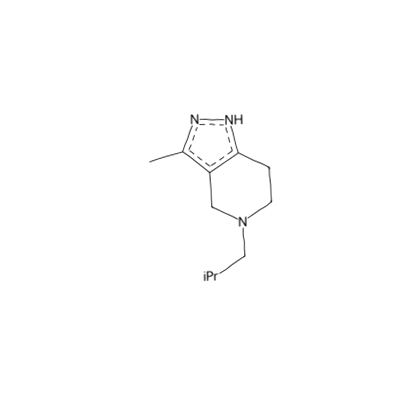 Cc1n[nH]c2c1CN(CC(C)C)CC2